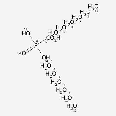 O.O.O.O.O.O.O.O.O.O.O.O.O=C(O)P(=O)(O)O